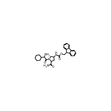 NC(=O)C1CC(NC(=O)OCC2c3ccccc3-c3ccccc32)CN1C(=O)C(N)C1CCCCC1